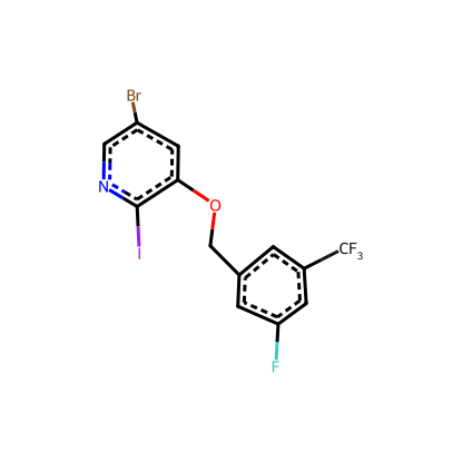 Fc1cc(COc2cc(Br)cnc2I)cc(C(F)(F)F)c1